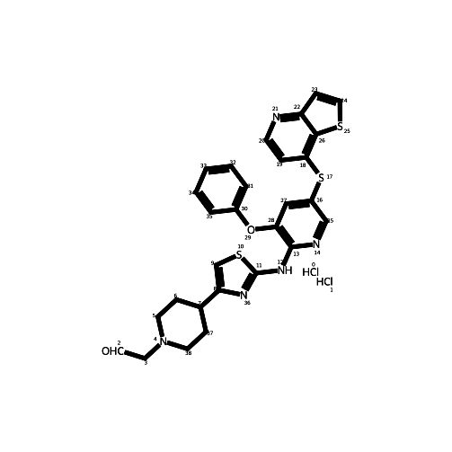 Cl.Cl.O=CCN1CCC(c2csc(Nc3ncc(Sc4ccnc5ccsc45)cc3Oc3ccccc3)n2)CC1